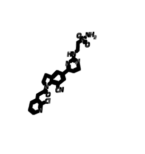 N#Cc1cc(-c2ccnc(NCCS(N)(=O)=O)n2)cc2c1N(C(=O)Cc1cccnc1Cl)CC2